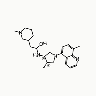 Cc1ccc(N2C[C@@H](C)[C@@H](NC(O)CC3CCCN(C)C3)C2)c2cccnc12